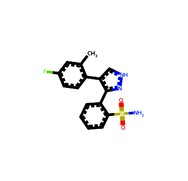 Cc1cc(F)ccc1-c1c[nH]nc1-c1ccccc1S(N)(=O)=O